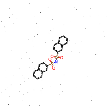 O=S(=O)([N]S(=O)(=O)c1ccc2ccccc2c1)c1ccc2ccccc2c1